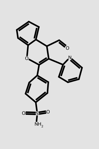 NS(=O)(=O)c1ccc(C2=C(c3ccccn3)C(C=O)c3ccccc3O2)cc1